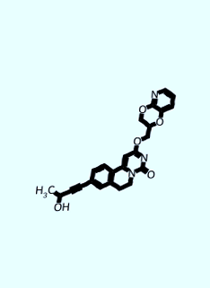 CC(O)C#Cc1ccc2c(c1)CCn1c-2cc(OCC2COc3ncccc3O2)nc1=O